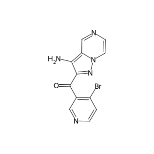 Nc1c(C(=O)c2cnccc2Br)nn2ccncc12